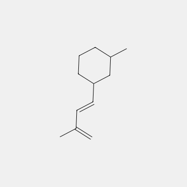 C=C(C)C=CC1CCCC(C)C1